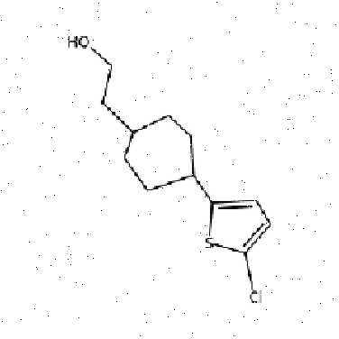 OCCC1CCC(c2ccc(Cl)s2)CC1